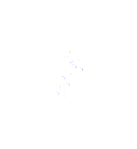 O=C1NCCC12CCCN(c1cc(-c3cnc4ccc(C(F)F)nn34)ccn1)C2